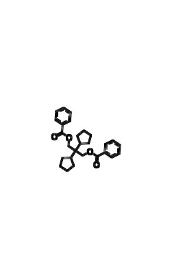 O=C(OCC(COC(=O)c1ccccc1)(C1CCCC1)C1CCCC1)c1ccccc1